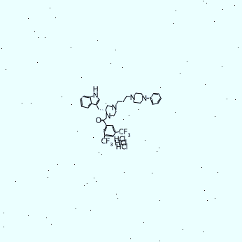 Cl.Cl.Cl.O=C(c1cc(C(F)(F)F)cc(C(F)(F)F)c1)N1CCN(CCCN2CCN(c3ccccc3)CC2)C[C@H]1Cc1c[nH]c2ccccc12